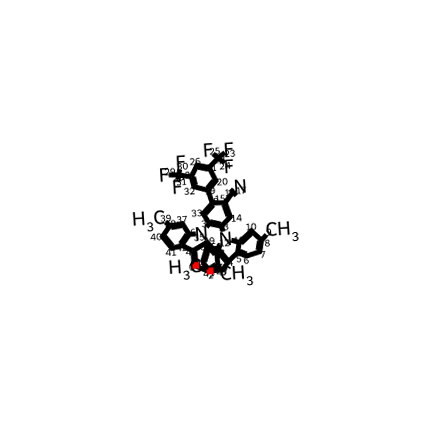 Cc1ccc2c3ccc(C)cc3n(-c3cc(C#N)c(-c4cc(C(F)(F)F)cc(C(F)(F)F)c4)cc3-n3c4cc(C)ccc4c4ccc(C)cc43)c2c1